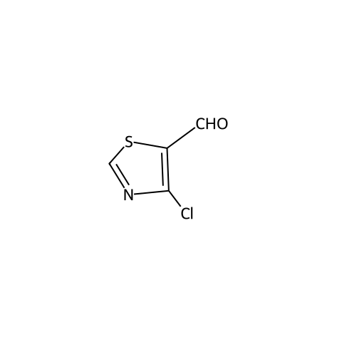 O=Cc1scnc1Cl